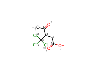 CC(=O)C(CC(=O)O)C(Cl)(Cl)Cl